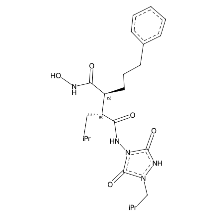 CC(C)C[C@@H](C(=O)Nn1c(=O)[nH]n(CC(C)C)c1=O)[C@H](CCCc1ccccc1)C(=O)NO